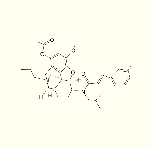 C=CCN1CC[C@]23c4c5c(OC(C)=O)cc(OC)c4O[C@H]2[C@H](N(CC(C)C)C(=O)C=Cc2cccc(C)c2)CC[C@H]3[C@H]1C5